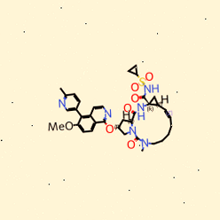 COc1ccc2c(O[C@@H]3C[C@H]4C(=O)N[C@]5(C(=O)NS(=O)(=O)C6CC6)C[C@H]5/C=C\CCCCN(C)C(=O)N4C3)nccc2c1-c1ccc(C)nc1